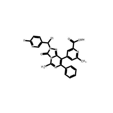 CCC(c1ccc(F)nc1)n1nc2c(-c3cc(C)nc(C(=O)OC)c3)c(-c3ccccc3)nc(N)n2c1=O